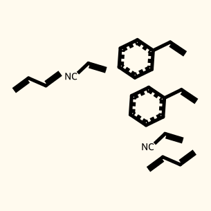 C=CC#N.C=CC#N.C=CC=C.C=CC=C.C=Cc1ccccc1.C=Cc1ccccc1